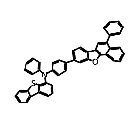 c1ccc(-c2cc3c4ccc(-c5ccc(N(c6ccccc6)c6cccc7c6sc6ccccc67)cc5)cc4oc3c3ccccc23)cc1